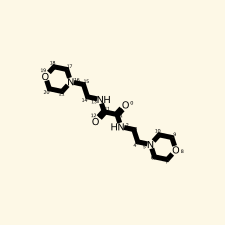 O=C(NCCN1CCOCC1)C(=O)NCCN1CCOCC1